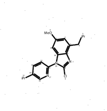 COc1cc(CC(C)C)c2nc(Cl)n(-c3ccc(C(C)C)cn3)c2c1